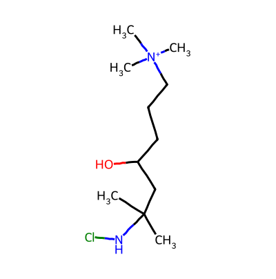 CC(C)(CC(O)CCC[N+](C)(C)C)NCl